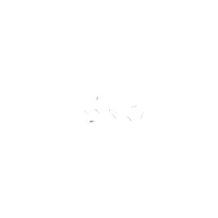 Cn1ncc(/N=C/c2ccccc2)c1N